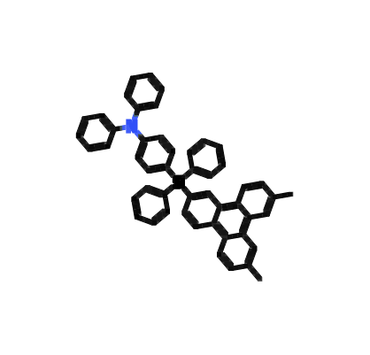 Cc1ccc2c3ccc([Si](c4ccccc4)(c4ccccc4)c4ccc(N(c5ccccc5)c5ccccc5)cc4)cc3c3ccc(C)cc3c2c1